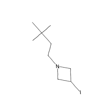 CC(C)(C)CCN1CC(I)C1